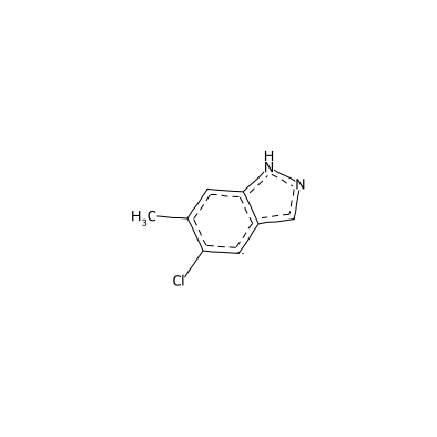 Cc1cc2[nH]ncc2[c]c1Cl